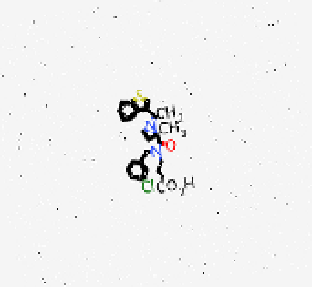 C=C(c1csc2ccccc12)N1CC[C@]1(C)C(=O)N(CCCC(=O)O)Cc1cccc(Cl)c1